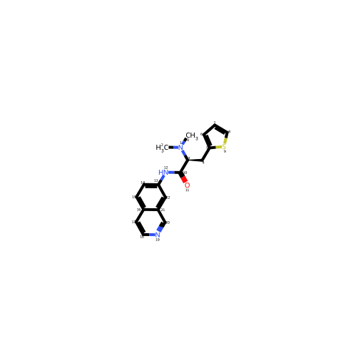 CN(C)[C@@H](Cc1cccs1)C(=O)Nc1ccc2ccncc2c1